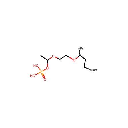 CCCCCCCCCCCCC(CCC)OCCOC(C)OP(=O)(O)O